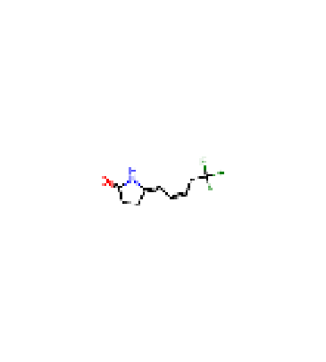 O=C1CC/C(=C\C=C/CC(F)(F)F)N1